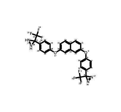 FC(F)(F)C1(c2ccc(Oc3ccc4ccc(Oc5ccc(C6(C(F)(F)F)NN6)cc5)cc4c3)cc2)N=N1